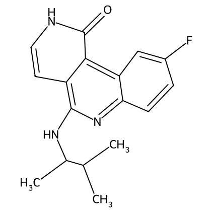 CC(C)C(C)Nc1nc2ccc(F)cc2c2c(=O)[nH]ccc12